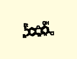 CCSc1cc(Oc2nnc(Cl)cc2O)c(Br)cc1Br